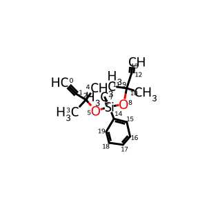 C#CC(C)(C)O[Si](C)(OC(C)(C)C#C)c1ccccc1